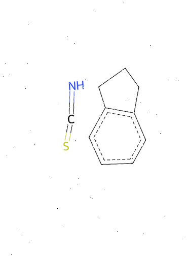 N=C=S.c1ccc2c(c1)CCC2